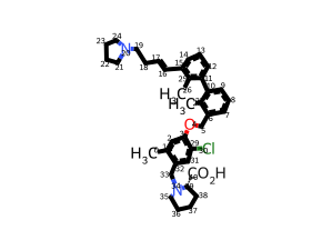 Cc1cc(OCc2cccc(-c3cccc(/C=C/CCN4CCCC4)c3C)c2C)c(Cl)cc1CN1CCCC[C@H]1C(=O)O